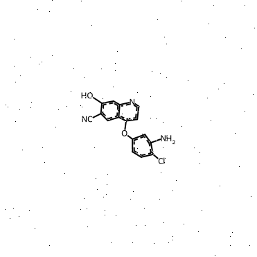 N#Cc1cc2c(Oc3ccc(Cl)c(N)c3)ccnc2cc1O